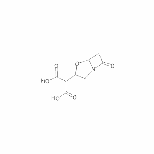 O=C(O)C(C(=O)O)C1CN2C(=O)CC2O1